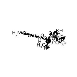 Cc1ncsc1-c1ccc(CNC(=O)[C@@H]2C[C@@H](O)CN2C(=O)[C@@H](NC(=O)C2(F)CC2)C(C)(C)C)c(OCC(=O)NCCOCCOCCOCCN)c1